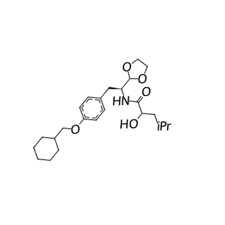 CC(C)CC(O)C(=O)N[C@@H](Cc1ccc(OCC2CCCCC2)cc1)C1OCCO1